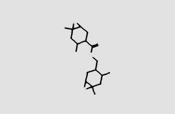 CC1CC2(C)OC2CC1CNC(=O)C1CC2OC2(C)CC1C